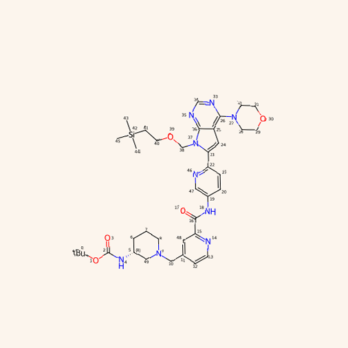 CC(C)(C)OC(=O)N[C@@H]1CCCN(Cc2ccnc(C(=O)Nc3ccc(-c4cc5c(N6CCOCC6)ncnc5n4COCC[Si](C)(C)C)nc3)c2)C1